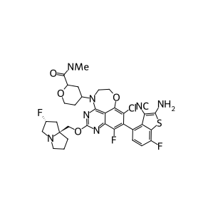 CNC(=O)C1CC(N2CCOc3c(Cl)c(-c4ccc(F)c5sc(N)c(C#N)c45)c(F)c4nc(OC[C@@]56CCCN5C[C@H](F)C6)nc2c34)CCO1